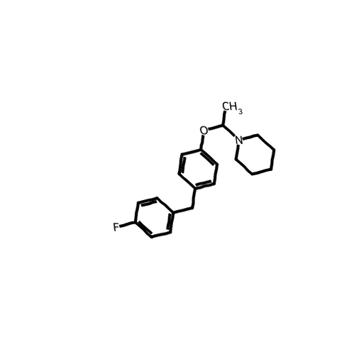 CC(Oc1ccc(Cc2ccc(F)cc2)cc1)N1CCCCC1